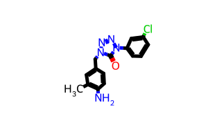 Cc1cc(Cn2nnn(-c3cccc(Cl)c3)c2=O)ccc1N